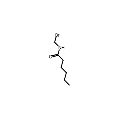 CCCCCC(=O)N[CH]Br